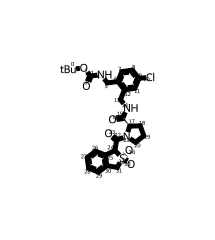 CC(C)(C)OC(=O)NCc1ccc(Cl)cc1CNC(=O)[C@@H]1CCCN1C(=O)C1c2ccccc2CS1(=O)=O